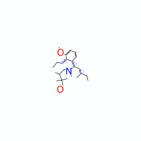 CC\C=c1/c(OC)ccc/c1=C(\C=C(/C)CC)N(C)CC(C)C(C)(C)COC